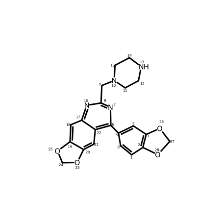 c1cc2c(cc1-c1nc(CN3CCNCC3)nc3cc4c(cc13)OCO4)OCO2